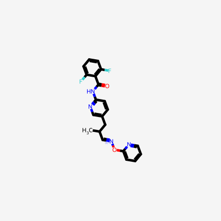 CC(/C=N/Oc1ccccn1)Cc1ccc(NC(=O)c2c(F)cccc2F)nc1